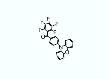 O=C(c1ccc(N2c3ccccc3Oc3ccccc32)cc1)c1c(F)c(F)c(F)c(F)c1F